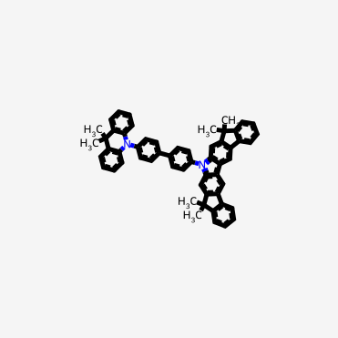 CC1(C)c2ccccc2-c2cc3c4cc5c(cc4n(-c4ccc(-c6ccc(N7c8ccccc8C(C)(C)c8ccccc87)cc6)cc4)c3cc21)C(C)(C)c1ccccc1-5